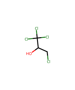 OC(CCl)C(Cl)(Cl)Cl